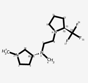 CN1CC[C@@H](N(C)CCN2CCC[C@H]2C(F)(F)F)C1